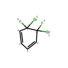 FC1(Br)C=CC=CC1(F)Br